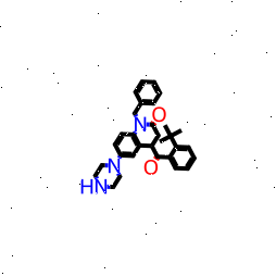 CC(C)(C)c1ccccc1C(=O)C1CC(=O)N(Cc2ccccc2)c2ccc(N3CCNCC3)cc21